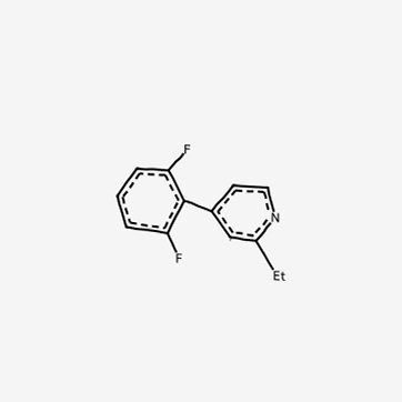 CCc1[c]c(-c2c(F)cccc2F)ccn1